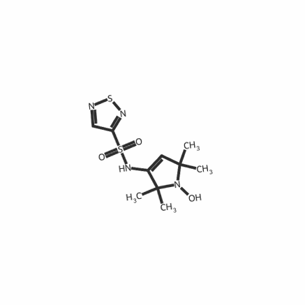 CC1(C)C=C(NS(=O)(=O)c2cnsn2)C(C)(C)N1O